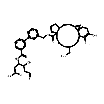 CCC1CCCC2(C(=O)NCc3cccc(-c4cccc(C(=O)NC(CC(C)C)C(O)CC=O)c4)c3)CCCC2CCC2CC23CCC(O)=C(C)C3CC1